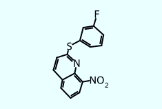 O=[N+]([O-])c1cccc2ccc(Sc3cccc(F)c3)nc12